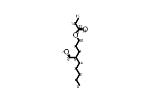 CCCCCC([C]=O)CCCOC(=O)CC